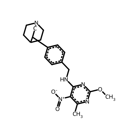 COc1nc(C)c([N+](=O)[O-])c(NCc2ccc(C3CN4CCC3CC4)cc2)n1